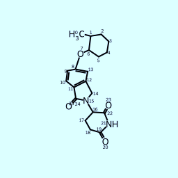 CC1CCCCC1Oc1ccc2c(c1)CN(C1CCC(=O)NC1=O)C2=O